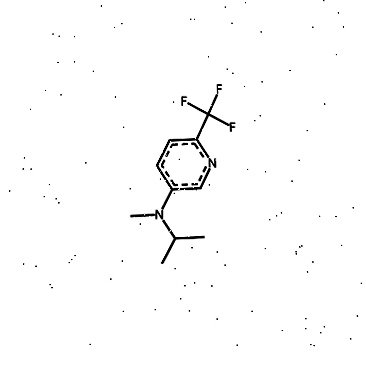 CC(C)N(C)c1ccc(C(F)(F)F)nc1